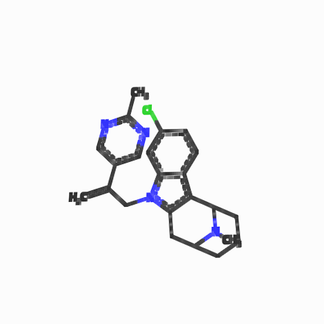 C=C(Cn1c2c(c3ccc(Cl)cc31)C1CCCC(C2)N1C)c1cnc(C)nc1